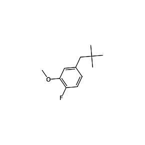 COc1cc(CC(C)(C)C)ccc1F